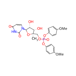 COc1ccc(OP(=O)(OC[C@@]2(C)O[C@@H](n3ccc(=O)[nH]c3=O)[C@H](O)[C@@H]2O)Oc2ccc(OC)cc2)cc1